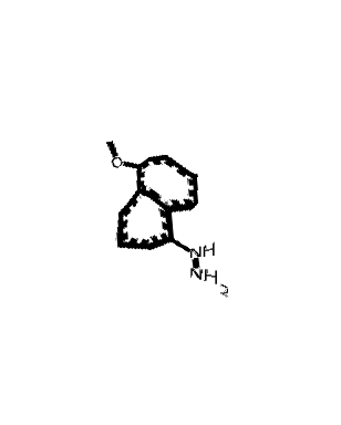 COc1cccc2c(NN)cccc12